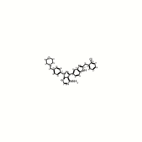 Nc1ncnc2c1c(-c1ccc3[nH]c(Cc4ccccc4Cl)nc3c1)nn2-c1ccc(CN2CCOCC2)cc1